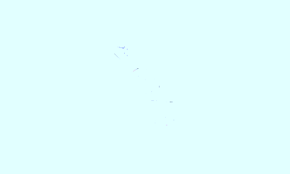 C[C@H]1C[C@H]2[C@H](CC[C@@H]3[C@@H]2CC[C@]2(C)[C@@H](C(=O)Cn4cccn4)CC[C@@H]32)C[C@]1(C)O